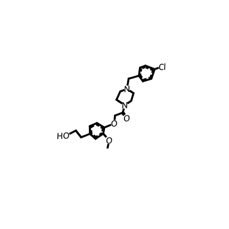 COc1cc(CCO)ccc1OCC(=O)N1CCN(Cc2ccc(Cl)cc2)CC1